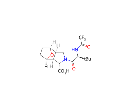 CC(C)(C)[C@H](NC(=O)C(F)(F)F)C(=O)N1C[C@H]2[C@@H]([C@H]1C(=O)O)[C@H]1CC[C@@H]2O1